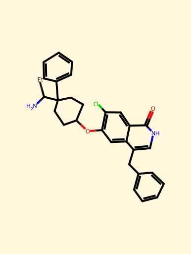 CCC(N)C1(c2ccccc2)CCC(Oc2cc3c(Cc4ccccc4)c[nH]c(=O)c3cc2Cl)CC1